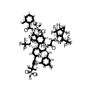 Cc1ccccc1C(=O)N(c1nn(CC(F)(F)F)c2c(-c3ccc(C#CC(C)(C)S(C)(=O)=O)nc3[C@H](Cc3cc(F)cc(F)c3)NC(=O)Cn3nc(C(F)(F)F)c4c3C(F)(F)[C@@H]3C[C@H]43)ccc(Cl)c12)S(C)(=O)=O